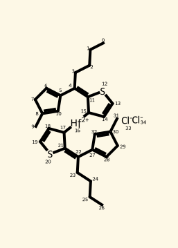 CCCCC(C1=CCC(C)=C1)=C1SC=C[CH]1[Hf+2][CH]1C=CSC1=C(CCCC)C1=CCC(C)=C1.[Cl-].[Cl-]